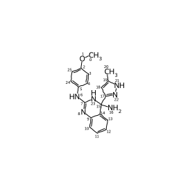 COc1ccc(NC2=Nc3ccccc3C(N)(c3cc(C)[nH]n3)N2)cc1